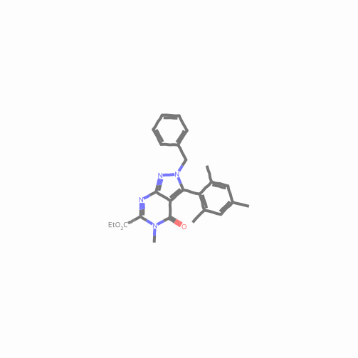 CCOC(=O)c1nc2nn(Cc3ccccc3)c(-c3c(C)cc(C)cc3C)c2c(=O)n1C